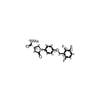 CNC(=O)[C@H]1CC(=O)N(c2ccc(OCc3c(F)ccc(F)c3F)cc2)C1